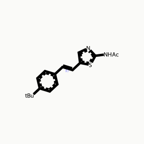 CC(=O)Nc1ncc(/C=C/c2ccc(C(C)(C)C)cc2)s1